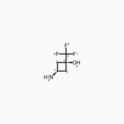 N[C@H]1C[C@](O)(C(F)(F)F)C1